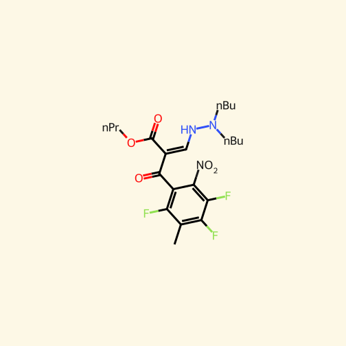 CCCCN(CCCC)NC=C(C(=O)OCCC)C(=O)c1c(F)c(C)c(F)c(F)c1[N+](=O)[O-]